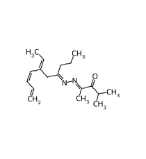 C=C/C=C\C(=C/C)C/C(CCC)=N/N=C(\C)C(=O)C(C)C